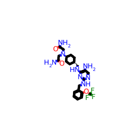 NC(=O)CN(CC(N)=O)[C@H]1CC[C@H](CNc2nc(NCc3ccccc3OC(F)(F)F)ncc2N)CC1